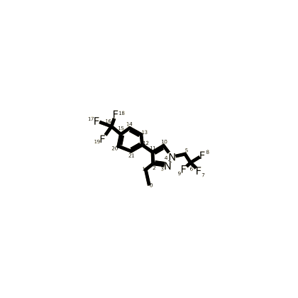 CCc1nn(CC(F)(F)F)cc1-c1ccc(C(F)(F)F)cc1